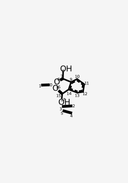 C=C.C=C.C=C.O=C(O)c1ccccc1C(=O)O